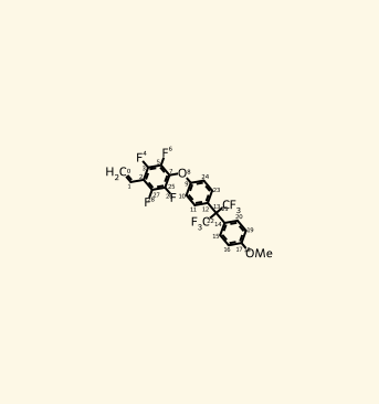 C=Cc1c(F)c(F)c(Oc2ccc(C(c3ccc(OC)cc3)(C(F)(F)F)C(F)(F)F)cc2)c(F)c1F